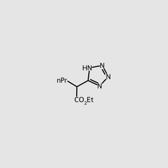 CCCC(C(=O)OCC)c1nnn[nH]1